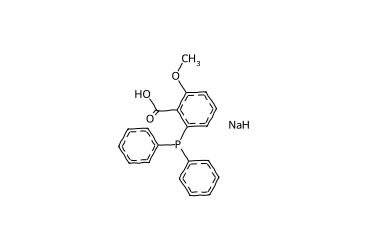 COc1cccc(P(c2ccccc2)c2ccccc2)c1C(=O)O.[NaH]